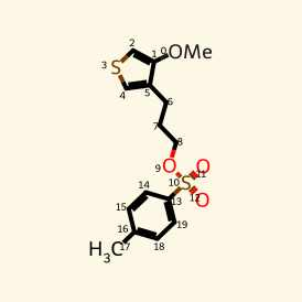 COc1cscc1CCCOS(=O)(=O)c1ccc(C)cc1